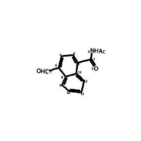 CC(=O)NC(=O)c1ccc(C=O)c2ccccc12